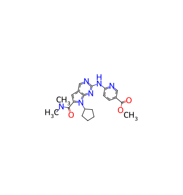 COC(=O)c1ccc(Nc2ncc3cc(C(=O)N(C)C)n(C4CCCC4)c3n2)nc1